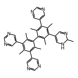 Cc1c(C2=CNC(C)N=C2)c(C)c(-c2c(C)c(-c3cncnc3)c(C)c(-c3cncnc3)c2C)c(C)c1-c1cncnc1